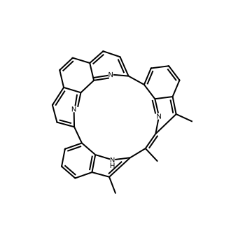 Cc1c2nc3c(cccc3c3ccc4ccc5ccc(nc5c4n3)c3cccc4c(C)c1[nH]c43)c2C